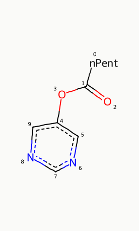 CCCCCC(=O)Oc1cncnc1